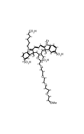 CCN1/C(=C/C=C/C2=[N+](CCCCCC(=O)O)c3ccc(S(=O)(=O)O)cc3C2(C)CCOCCOCCOCCOCCOCCOC)C(C)(CCCS(=O)(=O)O)c2cc(S(=O)(=O)O)ccc21